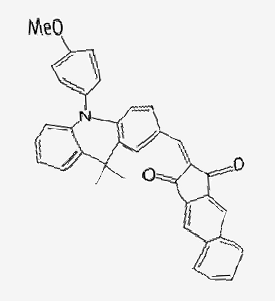 COc1ccc(N2c3ccccc3C(C)(C)c3cc(C=C4C(=O)c5cc6ccccc6cc5C4=O)ccc32)cc1